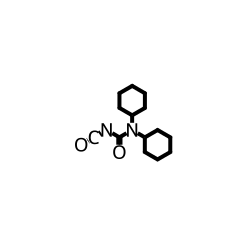 O=C=NC(=O)N(C1CCCCC1)C1CCCCC1